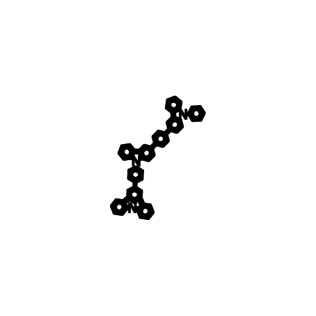 c1ccc(-n2c3ccccc3c3cc(-c4ccc(-c5ccc6c(c5)c5ccccc5n6-c5ccc(-c6cc7c8ccccc8n8c9ccccc9c(c6)c78)cc5)cc4)ccc32)cc1